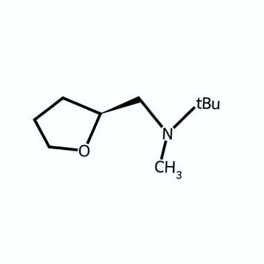 CN(C[C@@H]1CCCO1)C(C)(C)C